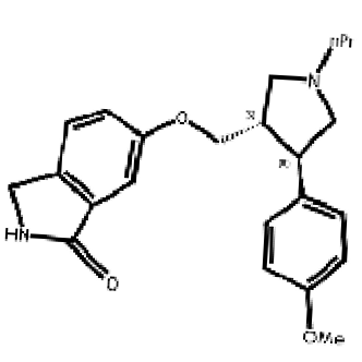 CCCN1C[C@@H](COc2ccc3c(c2)C(=O)NC3)[C@H](c2ccc(OC)cc2)C1